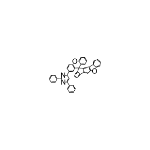 c1ccc(-c2cc(-c3ccc4c(c3)C3(c5ccccc5O4)c4ccccc4-c4cc5oc6ccccc6c5cc43)nc(-c3ccccc3)n2)cc1